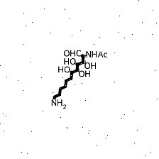 CC(=O)N[C@@H](C=O)[C@@H](O)[C@H](O)[C@H](O)C(O)CCCCCCN